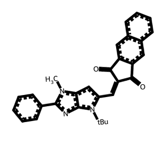 Cn1c(-c2ccccc2)nc2c1cc(C=C1C(=O)c3cc4ccccc4cc3C1=O)n2C(C)(C)C